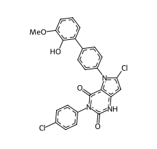 COc1cccc(-c2ccc(-n3c(Cl)cc4[nH]c(=O)n(-c5ccc(Cl)cc5)c(=O)c43)cc2)c1O